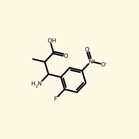 CC(C(=O)O)C(N)c1cc([N+](=O)[O-])ccc1F